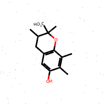 Cc1c(O)cc2c(c1C)OC(C)(C(=O)O)C(C)C2